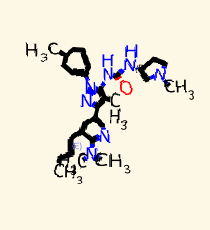 CC/C=C/C1CC(c2nn(C3=CCC(C)CC=C3)c(NC(=O)N[C@@H]3CCN(C)C3)c2C)=CN=C1N(C)C